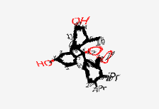 Cc1cc(O)ccc1C1(c2ccc(O)cc2C)OC(=O)c2c1ccc(C(C)C)c2C(C)C